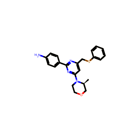 C[C@H]1COCCN1c1cc(CSc2ccccc2)nc(-c2ccc(N)cc2)n1